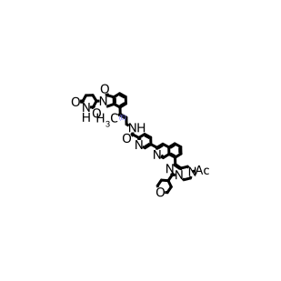 CC(=O)N1CCn2c(C3CCOCC3)nc(-c3cccc4cc(-c5ccc(C(=O)NC/C=C(\C)c6cccc7c6CN(C6CCC(=O)NC6=O)C7=O)nc5)ncc34)c2C1